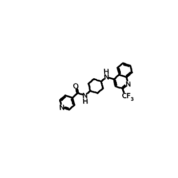 O=C(NC1CCC(Nc2cc(C(F)(F)F)nc3ccccc23)CC1)c1ccncc1